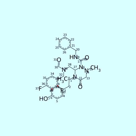 CC(Cc1ccc(O)cc1)N1C(=O)CN(C)N(C(=O)NCc2ccccc2)C1CN(C=O)Cc1ccc(F)cc1F